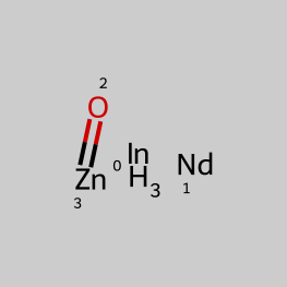 [InH3].[Nd].[O]=[Zn]